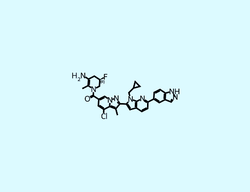 CC1=C(N)C[C@@H](F)CN1C(=O)c1cc(Cl)c2c(C)c(-c3cc4ccc(-c5ccc6[nH]ncc6c5)nc4n3CC3CC3)nn2c1